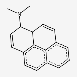 CN(C)C1C=Cc2ccc3cccc4c3c2C1C=C4